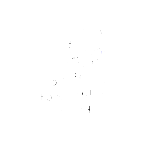 CC1(C)CCC(C)(C)c2cc(-c3cc4c5c(c3)-c3cccc6c3c(c(-c3ccccc3)n6-c3c(O)c(O)c(O)c(O)c3O)B/C=C(/C=C\C=C/5)O4)ccc21